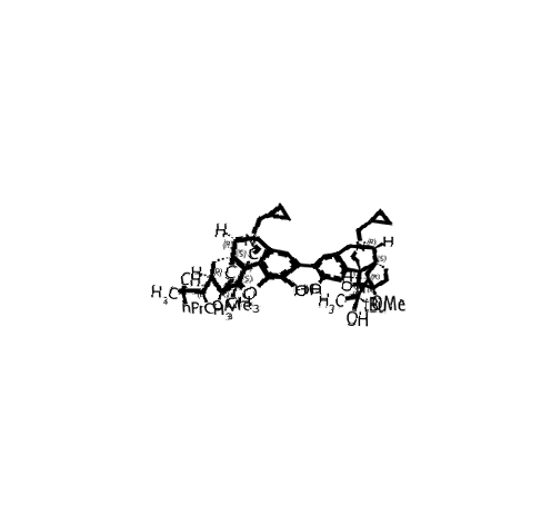 CCCC(C)(C)[C@H](C)[C@H]1C[C@@]23CC[C@]1(OC)[C@@]1(C)Oc4c(O)c(-c5cc6c7c(c5O)O[C@H]5[C@@]8(OC)CC[C@@]9(C[C@@H]8[C@](C)(O)C(C)(C)C)[C@@H](C6)N(CC6CC6)CC[C@]759)cc5c4[C@]21CCN(CC1CC1)[C@@H]3C5